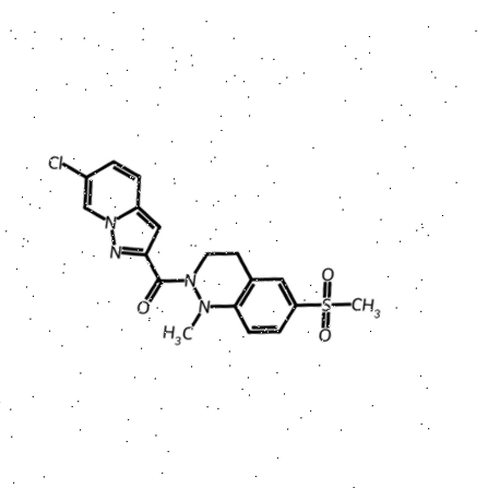 CN1c2ccc(S(C)(=O)=O)cc2CCN1C(=O)c1cc2ccc(Cl)cn2n1